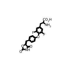 NC(Cc1cc(F)c(Oc2ccc(/C=C3/OC(=O)NC3=O)cc2)c(F)c1)C(=O)O